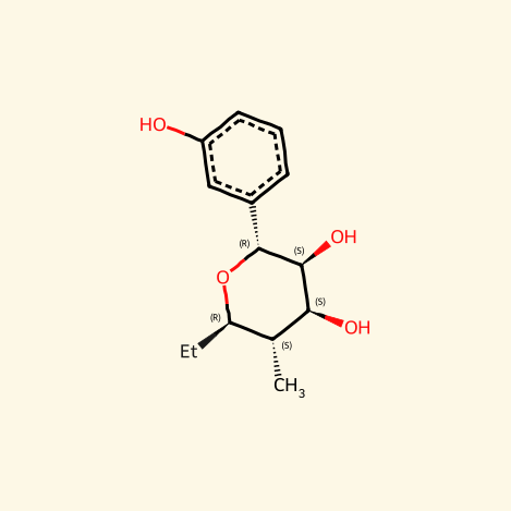 CC[C@H]1O[C@H](c2cccc(O)c2)[C@@H](O)[C@@H](O)[C@@H]1C